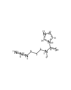 CN(CCCN=[N+]=[N-])C(=S)n1ccnc1